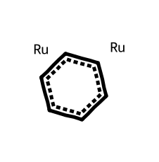 [Ru].[Ru].c1ccccc1